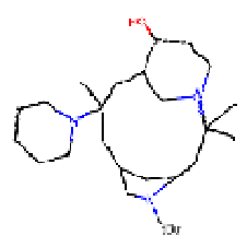 CC(C)(C)N1CC2CC1CC(C)(C)N1CCC(O)C(C1)CC(C)(N1CCCCC1)C2